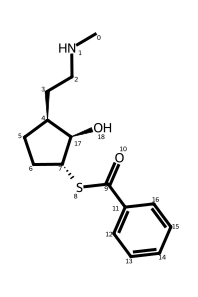 CNCC[C@@H]1CC[C@@H](SC(=O)c2ccccc2)[C@@H]1O